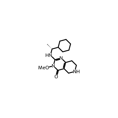 COn1c(N[C@H](C)C2CCCCC2)nc2c(c1=O)CNCC2